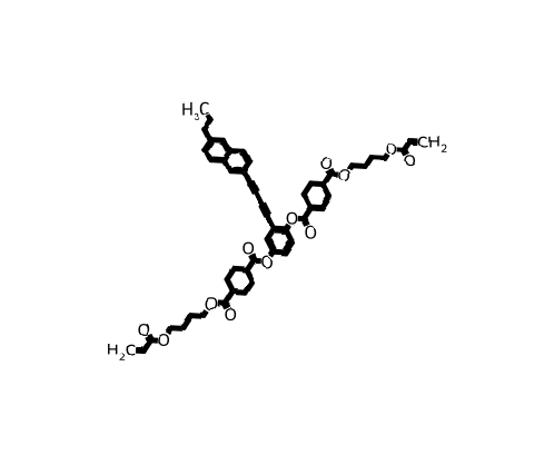 C=CC(=O)OCCCCOC(=O)C1CCC(C(=O)Oc2ccc(OC(=O)C3CCC(C(=O)OCCCCOC(=O)C=C)CC3)c(C#CC#Cc3ccc4cc(CCC)ccc4c3)c2)CC1